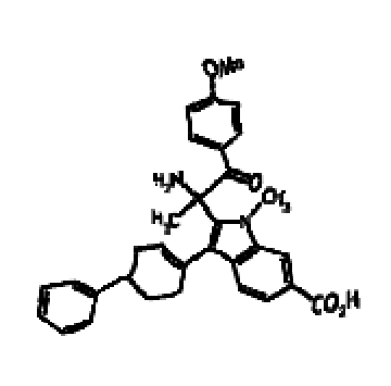 COc1ccc(C(=O)C(C)(N)c2c(C3=CCC(c4ccccc4)CC3)c3ccc(C(=O)O)cc3n2C)cc1